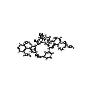 Cc1cccc(C)c1-c1cc2nc(n1)NSc1cccc(c1)C(=O)N1C(c3ncc(OC(C)C)cn3)CCCC(O2)[C@H]1CC(C)C